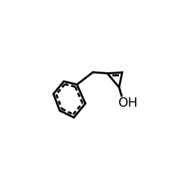 OC1C=C1Cc1ccccc1